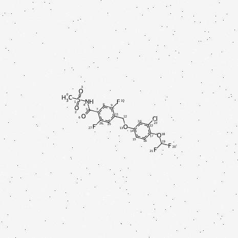 CS(=O)(=O)NC(=O)c1cc(F)c(COc2ccc(OC(F)F)c(Cl)c2)cc1F